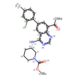 COC(=O)c1cc(-c2ccc(C(F)(F)F)cc2F)cc2c(N[C@H]3CCCN(C(=O)OC(C)(C)C)C3)ncnc12